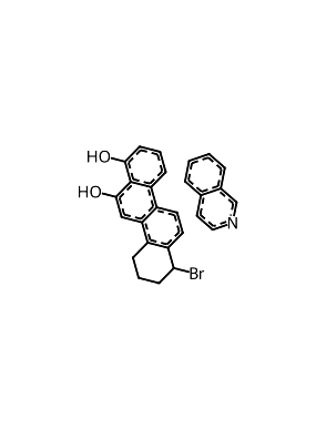 Oc1cccc2c1c(O)cc1c3c(ccc12)C(Br)CCC3.c1ccc2cnccc2c1